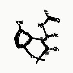 CCC(=O)NN(C(C)=O)[C@@H]1c2cc(C#N)ccc2OC(C)(C)[C@H]1O